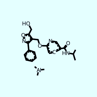 CC(C)NC(=O)c1ccc(OCc2c(-c3ccccc3)noc2CO)nc1.[CH3][Al]([CH3])[CH3]